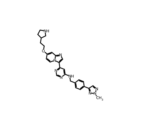 Cn1ncc(-c2ccc(CNc3cc(-c4cnc5cc(OCCC6CCNC6)ccn45)ncn3)cc2)n1